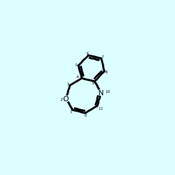 C1=C\OCc2ccccc2\N=C/1